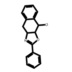 ClC1c2ccccc2CC2N=C(c3ccccc3)OC21